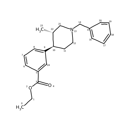 CCOC(=O)c1cccc([C@@H]2CCN(Cc3ccccc3)C[C@H]2C)c1